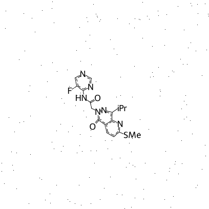 CSc1ccc2c(=O)n(CC(=O)Nc3ncncc3F)nc(C(C)C)c2n1